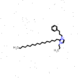 CCCCCCCCCCCCCCCCCc1n(CCC)cc[n+]1CCCc1ccccc1